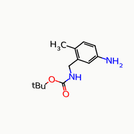 Cc1ccc(N)cc1CNC(=O)OC(C)(C)C